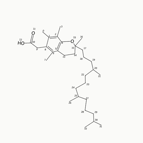 Cc1c(C)c2c(c(C)c1CC(=O)O)CCC(C)(CCCC(C)CCCC(C)CCCC(C)C)O2